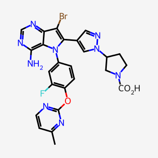 Cc1ccnc(Oc2ccc(-n3c(-c4cnn(C5CCN(C(=O)O)C5)c4)c(Br)c4ncnc(N)c43)cc2F)n1